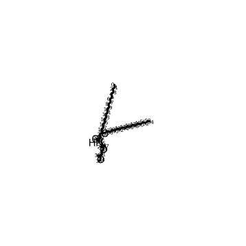 CCCCCCCCCCCCCCCCCCCC(CSC(=O)NCC(C)(C)OC/C=C(\C)OC)OCCCCCCCCCCCCCCCCCC